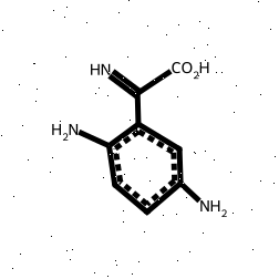 N=C(C(=O)O)c1cc(N)ccc1N